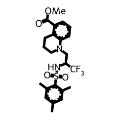 COC(=O)c1cccc2c1CCCN2CC(NS(=O)(=O)c1c(C)cc(C)cc1C)C(F)(F)F